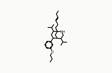 CCC=CCCC12CC(C(c3cccc(OCCC)c3)CC1C(C)C)C(C(C)C)CN2